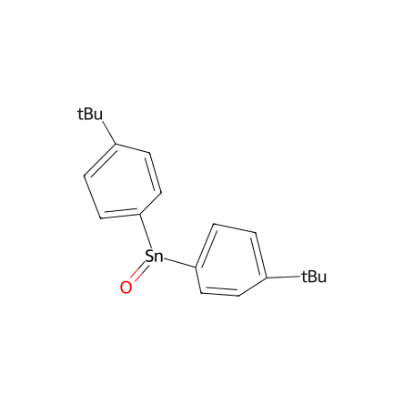 CC(C)(C)c1cc[c]([Sn](=[O])[c]2ccc(C(C)(C)C)cc2)cc1